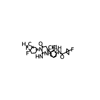 C[C@@H]1C[C@H](N2C(=N)N[C@](C)(c3cccc(NC(=O)C45CC4(F)C5)c3Cl)CC2=O)CCC1(F)F